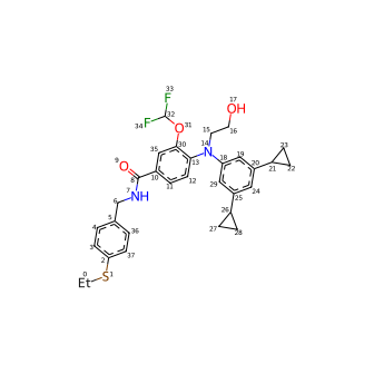 CCSc1ccc(CNC(=O)c2ccc(N(CCO)c3cc(C4CC4)cc(C4CC4)c3)c(OC(F)F)c2)cc1